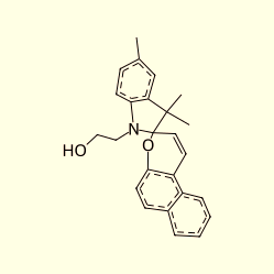 Cc1ccc2c(c1)C(C)(C)C1(C=Cc3c(ccc4ccccc34)O1)N2CCO